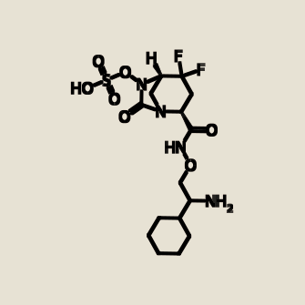 NC(CONC(=O)[C@@H]1CC(F)(F)[C@@H]2CN1C(=O)N2OS(=O)(=O)O)C1CCCCC1